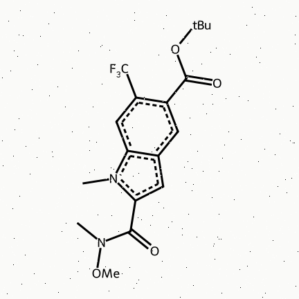 CON(C)C(=O)c1cc2cc(C(=O)OC(C)(C)C)c(C(F)(F)F)cc2n1C